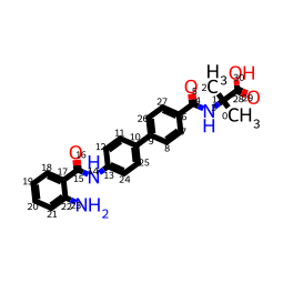 CC(C)(NC(=O)c1ccc(-c2ccc(NC(=O)c3ccccc3N)cc2)cc1)C(=O)O